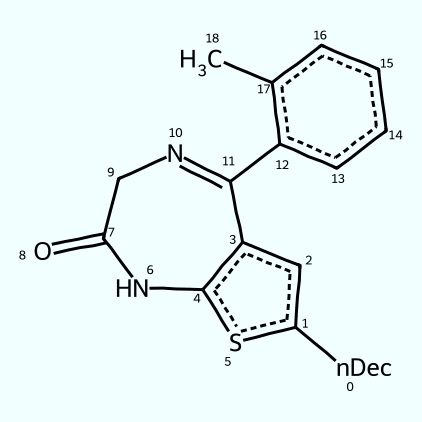 CCCCCCCCCCc1cc2c(s1)NC(=O)CN=C2c1ccccc1C